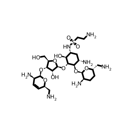 NCCS(=O)(=O)N[C@@H]1C[C@H](N)[C@@H](O[C@H]2O[C@H](CN)CC[C@H]2N)[C@H](O[C@@H]2O[C@H](CO)[C@@H](O[C@H]3O[C@@H](CN)C=C[C@H]3N)[C@H]2O)[C@H]1O